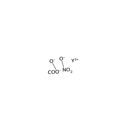 O=C([O-])[O-].O=[N+]([O-])[O-].[Y+3]